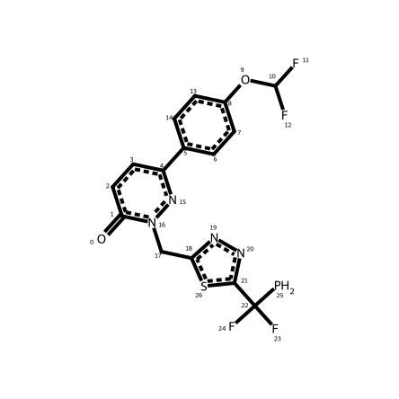 O=c1ccc(-c2ccc(OC(F)F)cc2)nn1Cc1nnc(C(F)(F)P)s1